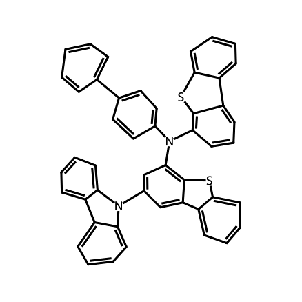 c1ccc(-c2ccc(N(c3cccc4c3sc3ccccc34)c3cc(-n4c5ccccc5c5ccccc54)cc4c3sc3ccccc34)cc2)cc1